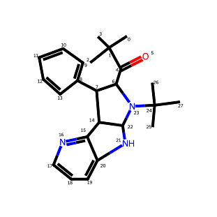 CC(C)(C)C(=O)C1C(c2ccccc2)C2c3ncccc3NC2N1C(C)(C)C